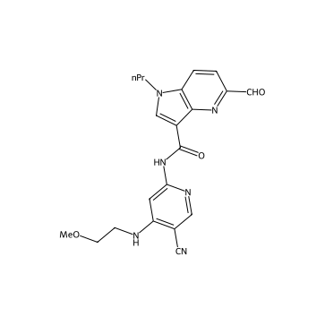 CCCn1cc(C(=O)Nc2cc(NCCOC)c(C#N)cn2)c2nc(C=O)ccc21